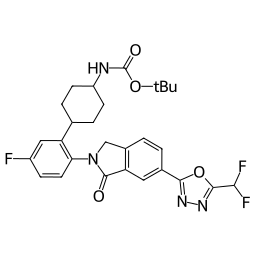 CC(C)(C)OC(=O)NC1CCC(c2cc(F)ccc2N2Cc3ccc(-c4nnc(C(F)F)o4)cc3C2=O)CC1